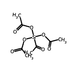 CC(=O)O[Si](OC(C)=O)(OC(C)=O)C(C)=O